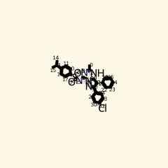 C/C(N)=N/C(=N\S(=O)(=O)c1ccc(C(C)C)cc1)N1C[C@H](c2ccccc2)C(c2ccc(Cl)cc2)=N1